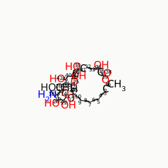 C[C@@H]1C/C=C/C=C/C=C/C=C/[C@H](O[C@@H]2O[C@H](C)C(N)C(O)C2O)C[C@@H]2O[C@](O)(C[C@@H](O)C/C=C/[C@H](O)CC(=O)O1)C[C@H](O)[C@H]2C(=O)O